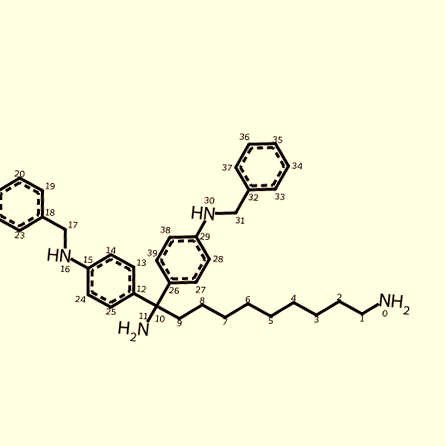 NCCCCCCCCCC(N)(c1ccc(NCc2ccccc2)cc1)c1ccc(NCc2ccccc2)cc1